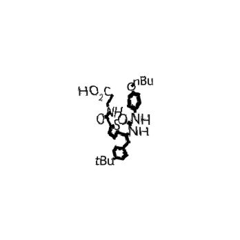 CCCCOc1ccc(NC(=O)NC(Cc2ccc(C(C)(C)C)cc2)c2ccc(C(=O)NCCC(=O)O)s2)cc1